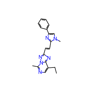 CCc1cnc(C)n2nc(C=Cc3nc(-c4ccccc4)cn3C)nc12